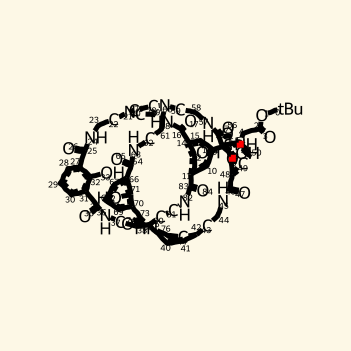 CC(C)(C)OC(=O)CNS(=O)(=O)c1cc2c(O)c(c1)C(=O)NCCN1CCNC(=O)c3cccc(c3O)C(=O)NCCC(/C=C/C3CCNC(=O)c4cccc(c4O)C(=O)NCCN(CCNC(=O)c4cccc(c4O)C(=O)NCC3)CC1)CCNC2=O